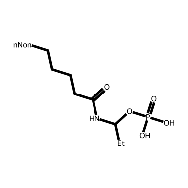 CCCCCCCCCCCCCC(=O)NC(CC)OP(=O)(O)O